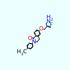 Cc1ccc(N2CCc3cc(OC/C(=C/F)CN)ccc3C2=O)cc1